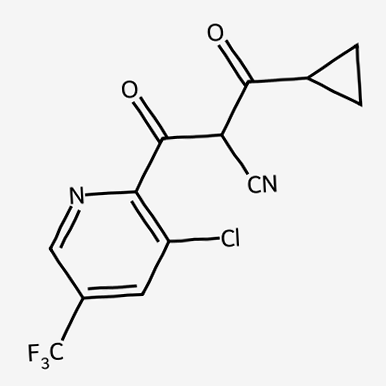 N#CC(C(=O)c1ncc(C(F)(F)F)cc1Cl)C(=O)C1CC1